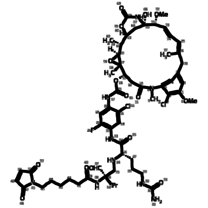 COc1cc2cc(c1Cl)N(C)C(=O)C[C@H](OC(=O)Nc1cc(F)c(NC(=O)[C@H](CCCNC(N)=O)NC[C@](C=O)(NC(=O)CCCCCN3C(=O)C=CC3=O)C(C)C)cc1Cl)[C@]1(C)O[C@H]1[C@H](C)[C@@H]1C[C@@](O)(NC(=O)O1)[C@H](OC)/C=C/C=C(\C)C2